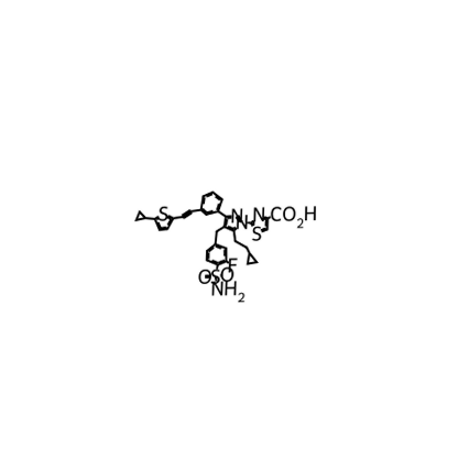 NS(=O)(=O)c1ccc(Cc2c(-c3cccc(C#Cc4ccc(C5CC5)s4)c3)nn(-c3nc(C(=O)O)cs3)c2CCC2CC2)cc1F